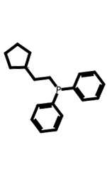 c1ccc(P(CC[C]2CCCC2)c2ccccc2)cc1